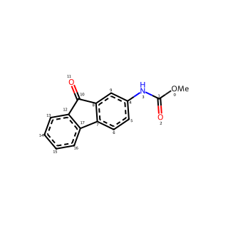 COC(=O)Nc1ccc2c(c1)C(=O)c1ccccc1-2